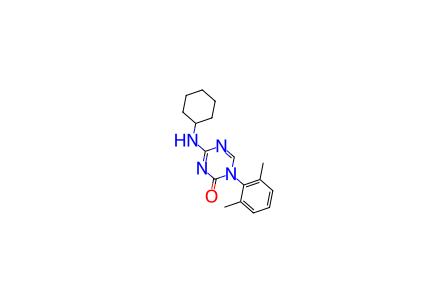 Cc1cccc(C)c1-n1cnc(NC2CCCCC2)nc1=O